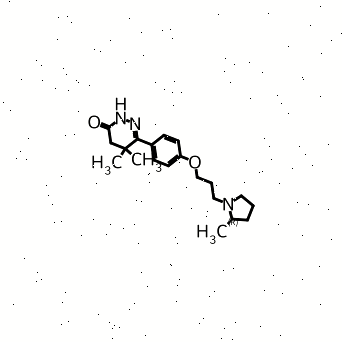 C[C@@H]1CCCN1CCCOc1ccc(C2=NNC(=O)CC2(C)C)cc1